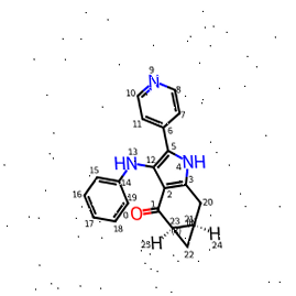 O=C1c2c([nH]c(-c3ccncc3)c2Nc2ccccc2)C[C@H]2C[C@@H]12